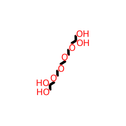 OCC(O)COCCOCCOCCOCC(O)CO